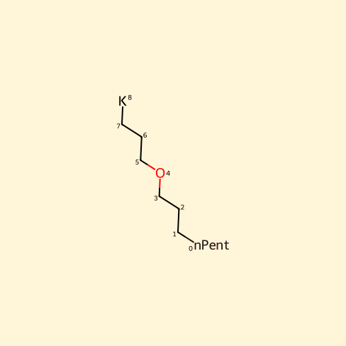 CCCCCCCCOCC[CH2][K]